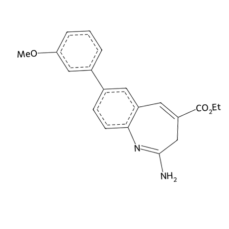 CCOC(=O)C1=Cc2cc(-c3cccc(OC)c3)ccc2N=C(N)C1